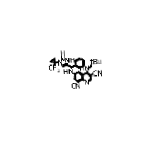 CC(C)(C)CNc1c(C#N)cnc2c(C#N)cc(N[C@H](C3=CN(C4(C(F)(F)F)CC4)NN3)c3ccccc3)cc12